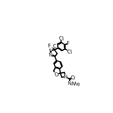 CNC(=O)N1CC2(C1)OCc1cc(C3=NSC(c4cc(Cl)c(F)c(Cl)c4)(C(F)(F)F)C3)ccc12